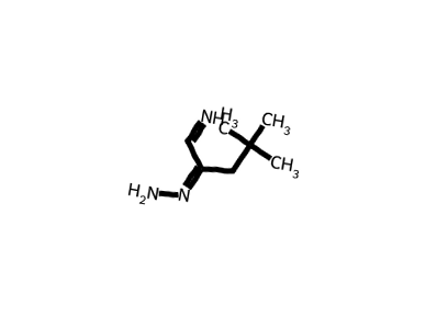 CC(C)(C)C/C(C=N)=N/N